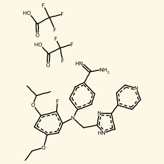 CCOc1cc(OC(C)C)c(F)c(N(Cc2nc(-c3ccncc3)c[nH]2)c2ccc(C(=N)N)cc2)c1.O=C(O)C(F)(F)F.O=C(O)C(F)(F)F